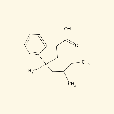 CCC(C)CC(C)(CCC(=O)O)c1ccccc1